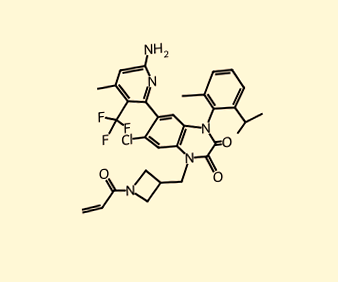 C=CC(=O)N1CC(Cn2c(=O)c(=O)n(-c3c(C)cccc3C(C)C)c3cc(-c4nc(N)cc(C)c4C(F)(F)F)c(Cl)cc32)C1